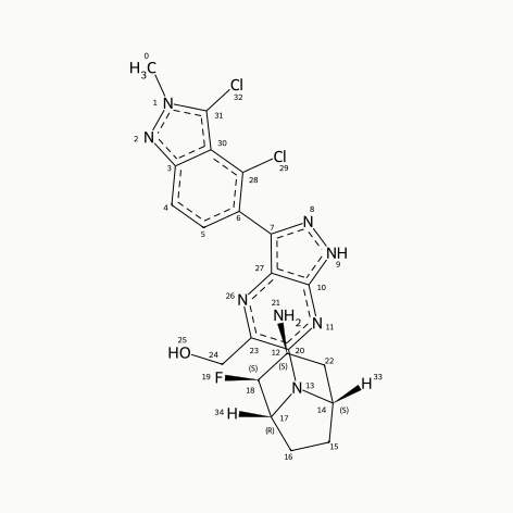 Cn1nc2ccc(-c3n[nH]c4nc(N5[C@H]6CC[C@@H]5[C@@H](F)[C@@H](N)C6)c(CO)nc34)c(Cl)c2c1Cl